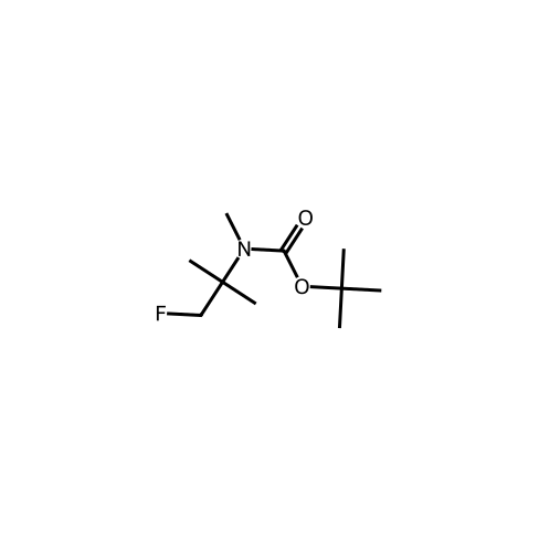 CN(C(=O)OC(C)(C)C)C(C)(C)CF